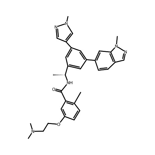 Cc1ccc(OCCN(C)C)cc1C(=O)N[C@H](C)c1cc(-c2ccc3cnn(C)c3c2)cc(-c2cnn(C)c2)c1